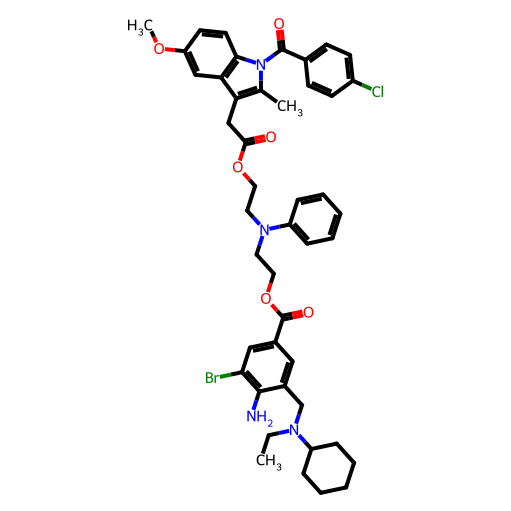 CCN(Cc1cc(C(=O)OCCN(CCOC(=O)Cc2c(C)n(C(=O)c3ccc(Cl)cc3)c3ccc(OC)cc23)c2ccccc2)cc(Br)c1N)C1CCCCC1